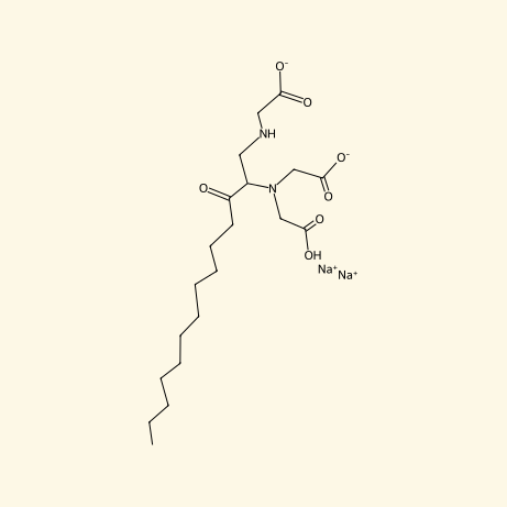 CCCCCCCCCCCC(=O)C(CNCC(=O)[O-])N(CC(=O)[O-])CC(=O)O.[Na+].[Na+]